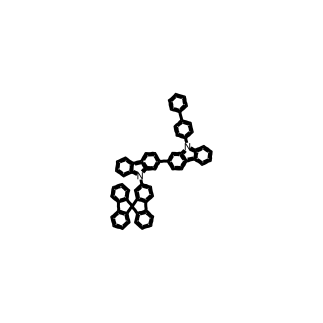 c1ccc(-c2ccc(-n3c4ccccc4c4ccc(-c5ccc6c7ccccc7n(-c7ccc8c(c7)C7(c9ccccc9-c9ccccc97)c7ccccc7-8)c6c5)cc43)cc2)cc1